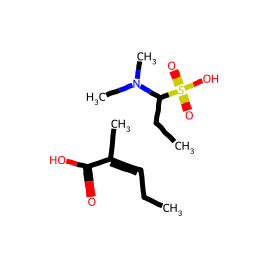 CCC(N(C)C)S(=O)(=O)O.CCC=C(C)C(=O)O